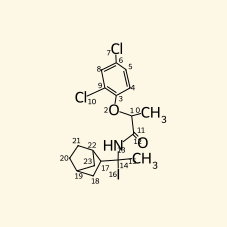 CC(Oc1ccc(Cl)cc1Cl)C(=O)NC(C)(I)C1CC2CCC1C2